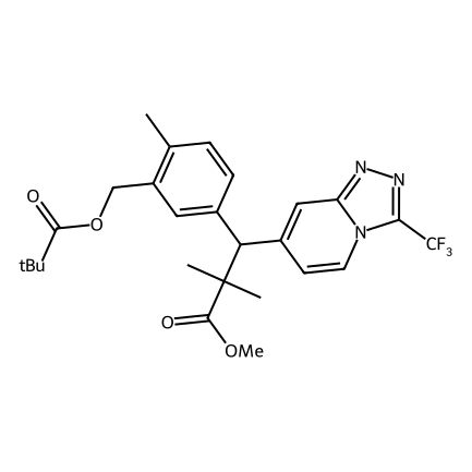 COC(=O)C(C)(C)C(c1ccc(C)c(COC(=O)C(C)(C)C)c1)c1ccn2c(C(F)(F)F)nnc2c1